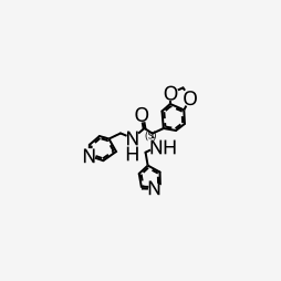 O=C(NCc1ccncc1)[C@@H](NCc1ccncc1)c1ccc2c(c1)OCO2